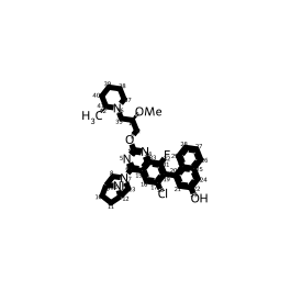 CO[C@@H](COc1nc(N2CC3CCC(C2)N3)c2cc(Cl)c(-c3cc(O)cc4ccccc34)c(F)c2n1)CN1CCCC[C@H]1C